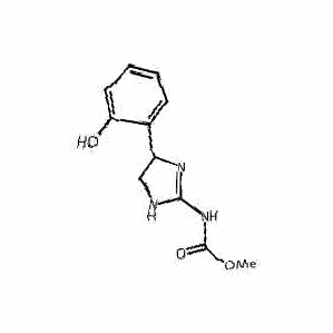 COC(=O)NC1=NC(c2ccccc2O)CN1